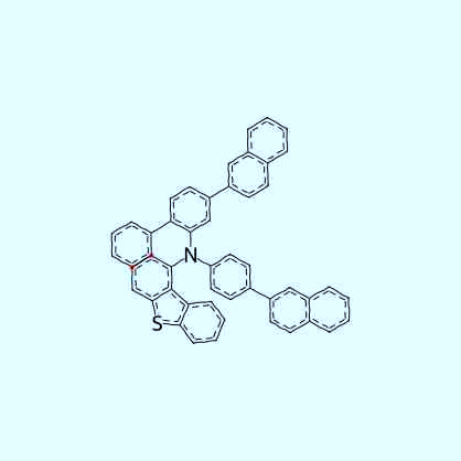 c1ccc(-c2ccc(-c3ccc4ccccc4c3)cc2N(c2ccc(-c3ccc4ccccc4c3)cc2)c2cccc3sc4ccccc4c23)cc1